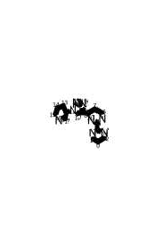 c1cnc(-c2nccc(-c3cn(-c4cccnc4)nn3)n2)nc1